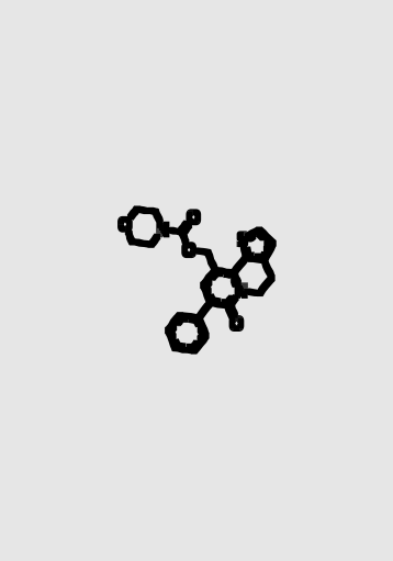 O=C(OCc1cc(-c2ccccc2)c(=O)n2c1-c1sccc1CC2)N1CCOCC1